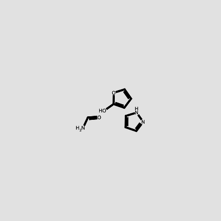 NC=O.Oc1ccco1.c1cn[nH]c1